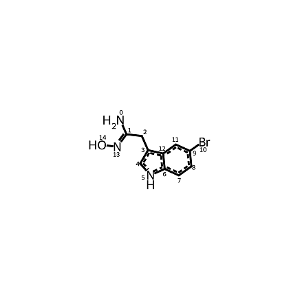 NC(Cc1c[nH]c2ccc(Br)cc12)=NO